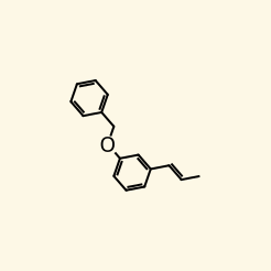 CC=Cc1cccc(OCc2ccccc2)c1